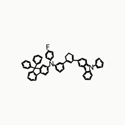 Fc1ccc(N(c2cccc(C3=CC(c4ccc5c(c4)c4ccccc4n5-c4ccccc4)=CCC3)c2)c2ccc3c(c2)C(c2ccccc2)(c2ccccc2)c2ccccc2-3)cc1